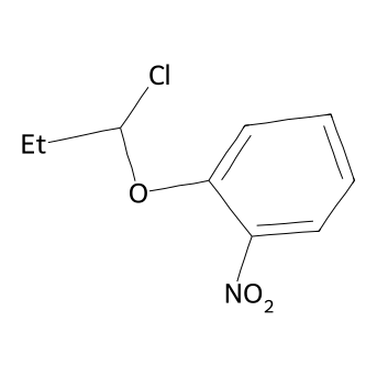 CCC(Cl)Oc1ccccc1[N+](=O)[O-]